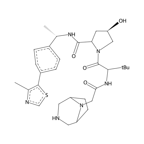 Cc1ncsc1-c1ccc([C@H](C)NC(=O)C2C[C@@H](O)CN2C(=O)C(NC(=O)CN2C3CCC2CNC3)C(C)(C)C)cc1